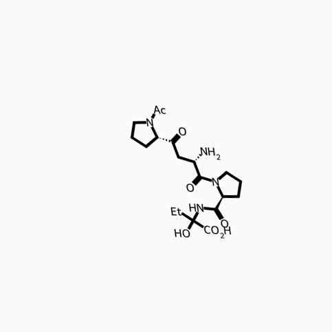 CCC(O)(NC(=O)[C@@H]1CCCN1C(=O)[C@@H](N)CC(=O)[C@@H]1CCCN1C(C)=O)C(=O)O